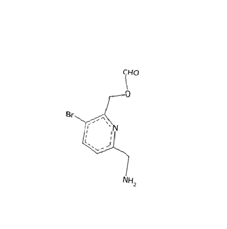 NCc1ccc(Br)c(COC=O)n1